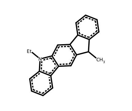 CCn1c2ccccc2c2cc3c(cc21)-c1ccccc1C3C